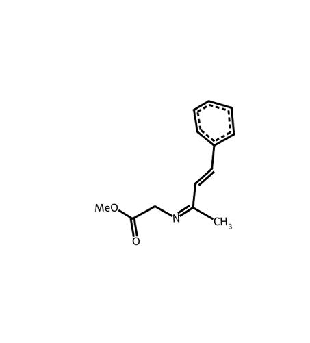 COC(=O)C/N=C(C)\C=C\c1ccccc1